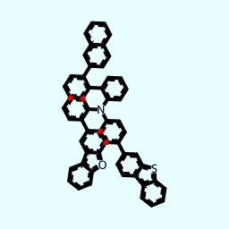 c1ccc(-c2ccccc2N(c2ccc(-c3ccc4c(c3)sc3ccccc34)cc2)c2ccccc2-c2ccc3oc4ccccc4c3c2)c(-c2ccc3ccccc3c2)c1